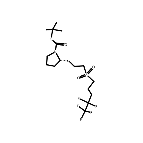 CC(C)(C)OC(=O)N1CCC[C@H]1CCCS(=O)(=O)CCCC(F)(F)C(F)(F)F